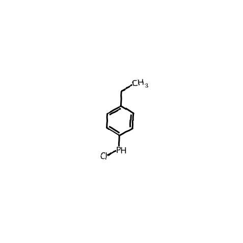 CCc1ccc(PCl)cc1